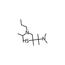 CCCN(CC(C)(S)C(C)(C)N(C)C)C(C)C